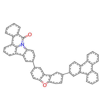 O=c1c2ccccc2c2cccc3c4cc(-c5ccc6oc7ccc(-c8ccc9c%10ccccc%10c%10ccccc%10c9c8)cc7c6c5)ccc4n1c23